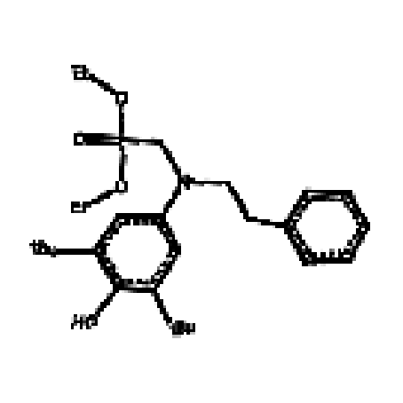 CCOP(=O)(CN(CCc1ccccc1)c1cc(C(C)(C)C)c(O)c(C(C)(C)C)c1)OCC